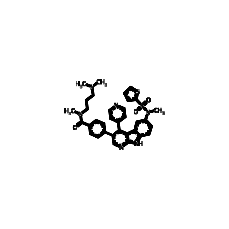 CN(C)CCCN(C)C(=O)c1ccc(-c2cnc3[nH]c4ccc(N(C)S(=O)(=O)c5cccs5)cc4c3c2-c2ccncc2)cc1